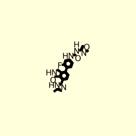 Cc1cnc(-c2ccc(-c3ccc(NC(=O)Nc4cocn4)cc3F)c3c2C(=O)NC3)[nH]1